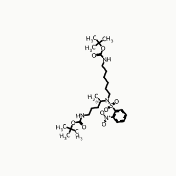 C[C@H](CCCNC(=O)OC(C)(C)C)N(CCCCCCNC(=O)OC(C)(C)C)S(=O)(=O)c1ccccc1[N+](=O)[O-]